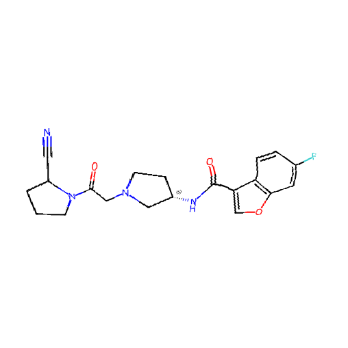 N#CC1CCCN1C(=O)CN1CC[C@H](NC(=O)c2coc3cc(F)ccc23)C1